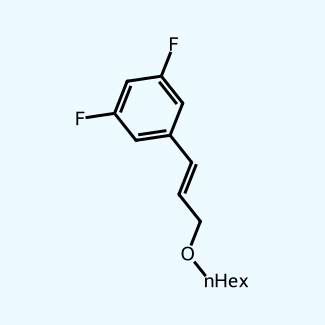 [CH2]CCCCCOCC=Cc1cc(F)cc(F)c1